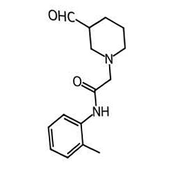 Cc1ccccc1NC(=O)CN1CCCC(C=O)C1